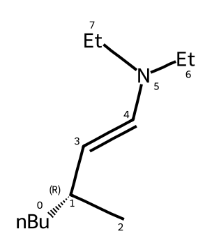 CCCC[C@@H](C)C=CN(CC)CC